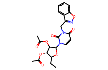 CCC1OC(n2ccc(=O)n(Cc3noc4ccccc34)c2=O)C(OC(C)=O)[C@H]1OC(C)=O